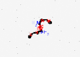 C[C@@](N)(CCc1ccc(C#CCCOc2ccccc2)o1)COC(=O)C(=O)OC[C@](C)(N)CCc1ccc(C#CCCOc2ccccc2)o1